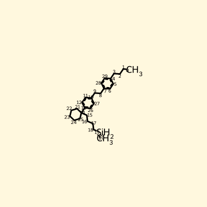 CCCCc1ccc(CCc2ccc(C3(CCCC[SiH2]C)CCCCC3)cc2)cc1